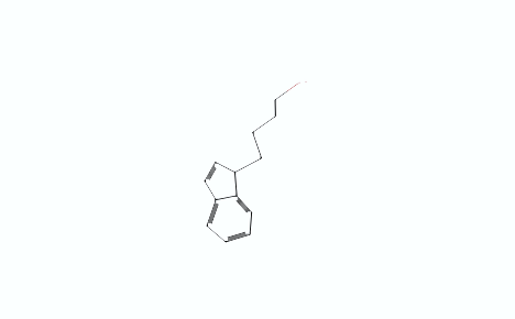 BrCCCCC1C=Cc2ccccc21